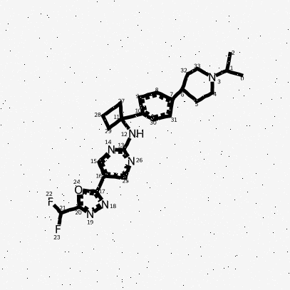 CC(C)N1CCC(c2ccc(C3(Nc4ncc(-c5nnc(C(F)F)o5)cn4)CCC3)cc2)CC1